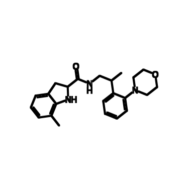 Cc1cccc2c1NC(C(=O)NCC(C)c1ccccc1N1CCOCC1)C2